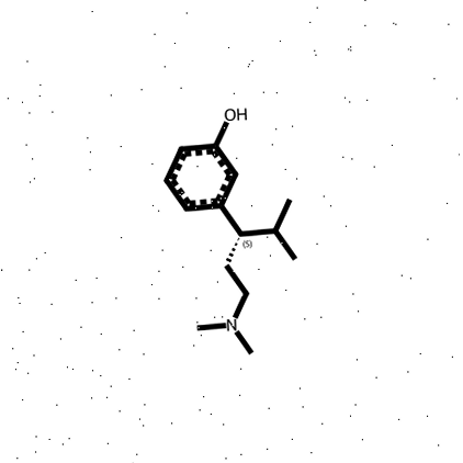 CC(C)[C@H](CCN(C)C)c1cccc(O)c1